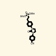 COP(=O)(CCc1ccc(N2CCN(c3ccc(C#N)cc3)C2=O)cc1)OC